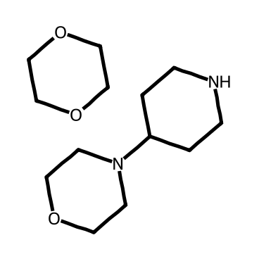 C1CC(N2CCOCC2)CCN1.C1COCCO1